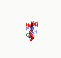 O=C(NC[C@H](O)[C@@H](O)[C@H](O)[C@H](O)CO)N[C@H]1CC[C@H](NS(=O)(=O)c2ccc(Cl)c(COC3(c4cnccc4-c4ccccc4OC4CC4)CC3)c2)CC1